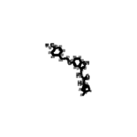 CC12CC(C1)[C@H](C(=O)Nc1c[nH]c3ccc(OCCc4ccc(C(F)(F)F)cc4)cc13)C2